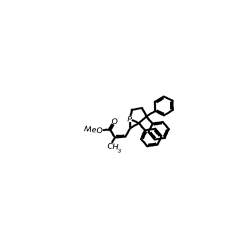 COC(=O)C(C)=CC1P2CCC(c3ccccc3)(c3ccccc3)C12c1ccccc1